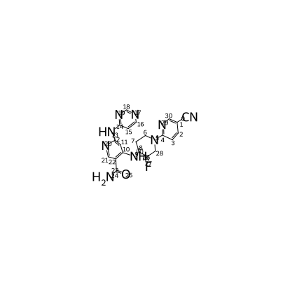 N#Cc1ccc(N2CC[C@@H](Nc3cc(Nc4ccncn4)ncc3C(N)=O)[C@@H](F)C2)nc1